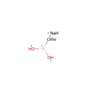 COB(O)O.[NaH]